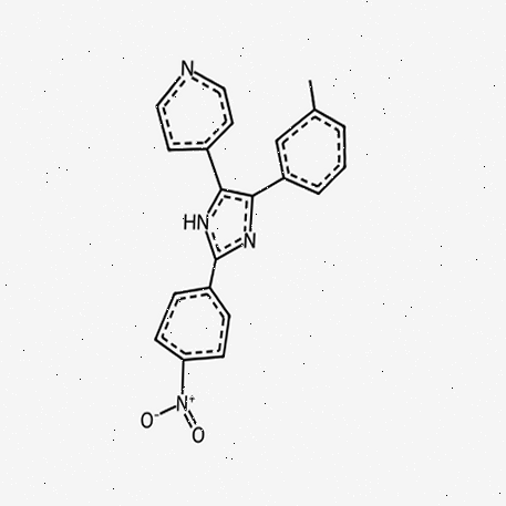 Cc1cccc(-c2nc(-c3ccc([N+](=O)[O-])cc3)[nH]c2-c2ccncc2)c1